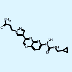 NC(=O)CCn1cc(-c2cnc3ccc(N(S)C(=O)NCC4CC4)nc3n2)cn1